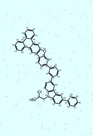 CCCCC(CC)Cn1c2ccc(-c3ccnc(-c4ncc5c(n4)oc4cc6c7ccccc7c7ccccc7c6cc45)c3)cc2c2cc(-c3ccccn3)ccc21